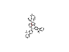 CC1(C)CCC(C)(C)c2c(-c3ccc(-c4cc5c(cc4N(c4ccccc4)c4ccc6c(c4)C(C)(C)c4ccccc4-6)C(C)(C)c4ccccc4-5)cc3)cccc21